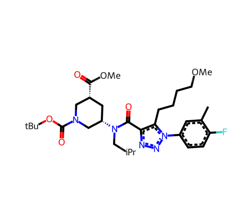 COCCCCc1c(C(=O)N(CC(C)C)[C@H]2C[C@@H](C(=O)OC)CN(C(=O)OC(C)(C)C)C2)nnn1-c1ccc(F)c(C)c1